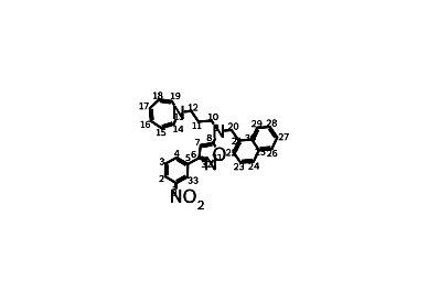 O=[N+]([O-])c1cccc(-c2cc(N(CCCN3C=CC=CC=C3)Cc3cccc4ccccc34)on2)c1